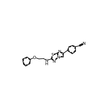 N#Cc1ccc(-c2cn3nc(NCCOc4ccccc4)sc3n2)cc1